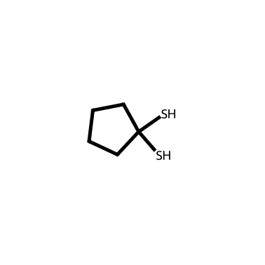 SC1(S)CCCC1